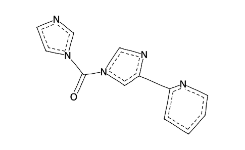 O=C(n1ccnc1)n1cnc(-c2ccccn2)c1